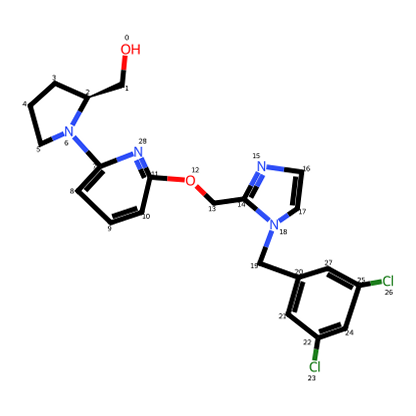 OC[C@@H]1CCCN1c1cccc(OCc2nccn2Cc2cc(Cl)cc(Cl)c2)n1